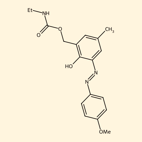 [CH2]CNC(=O)OCc1cc(C)cc(N=Nc2ccc(OC)cc2)c1O